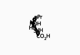 CCCc1ccc(-c2c(O)c(C(C)=NNCC(=S)Nc3ccc(C(=O)O)cc3)nn2C)cc1